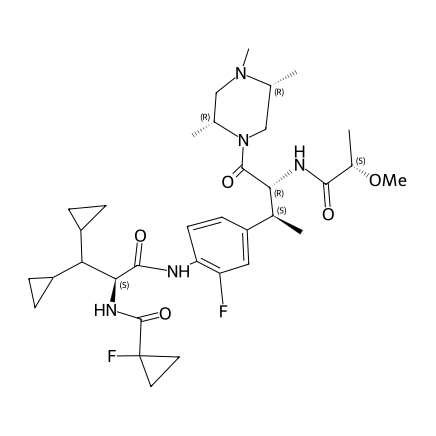 CO[C@@H](C)C(=O)N[C@@H](C(=O)N1C[C@@H](C)N(C)C[C@H]1C)[C@@H](C)c1ccc(NC(=O)[C@@H](NC(=O)C2(F)CC2)C(C2CC2)C2CC2)c(F)c1